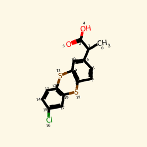 CC(C(=O)O)c1ccc2c(c1)Sc1ccc(Cl)cc1S2